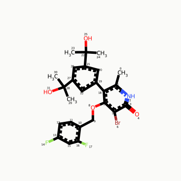 Cc1[nH]c(=O)c(Br)c(OCc2ccc(F)cc2F)c1-c1cc(C(C)(C)O)cc(C(C)(C)O)c1